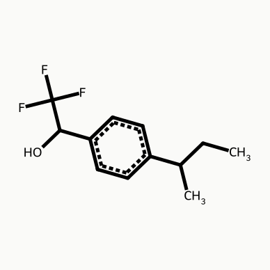 CCC(C)c1ccc(C(O)C(F)(F)F)cc1